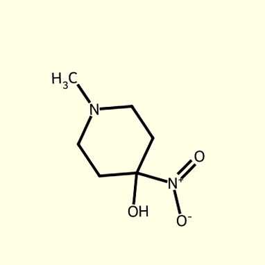 CN1CCC(O)([N+](=O)[O-])CC1